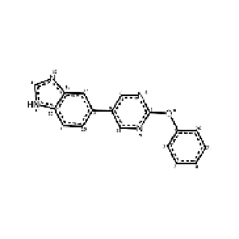 c1ccc(Oc2ncc(-c3ccc4[nH]cnc4c3)cn2)cc1